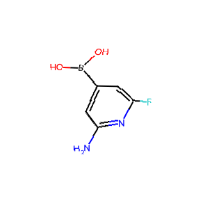 Nc1cc(B(O)O)cc(F)n1